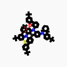 CC(C)(C)c1ccc(N2c3cc(C(C)(C)C)cc4c3B(c3ccc(N5c6ccc(C(C)(C)C)cc6C6(C)CCCCC56C)cc3N4c3cccc4c3oc3ccc(C(C)(C)C)cc34)c3ccc4c(sc5ccc(C(C)(C)C)cc54)c32)c(-c2ccccc2)c1